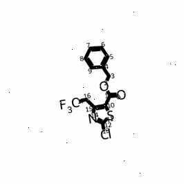 O=C(OCc1ccccc1)c1sc(Cl)nc1CC(F)(F)F